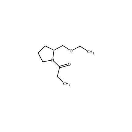 CCOCC1CCCN1C(=O)CC